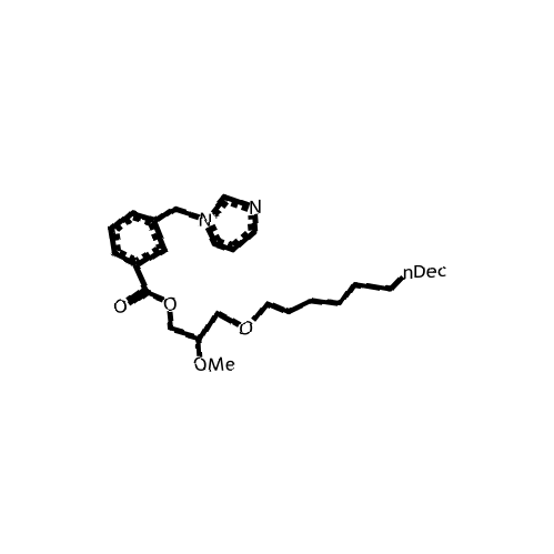 CCCCCCCCCCCCCCCCOCC(COC(=O)c1cccc(C[n+]2cccnc2)c1)OC